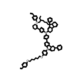 C=Cc1ccc(OCCCCCCOc2ccc(N3C4=CCC(c5ccccc5)CC4c4cc(-c5ccc(N(c6ccc(C7=CCCCC7)cc6)C6C=C7C(CC6)C6C=CC=CC6C7(CCCCC(CC)COc6ccc(C=C)cc6)c6ccccc6)cc5)ccc43)cc2)cc1